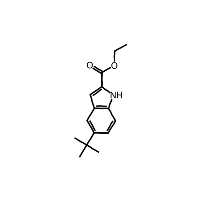 CCOC(=O)c1cc2cc(C(C)(C)C)ccc2[nH]1